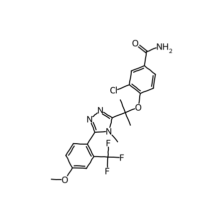 COc1ccc(-c2nnc(C(C)(C)Oc3ccc(C(N)=O)cc3Cl)n2C)c(C(F)(F)F)c1